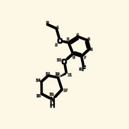 CCOc1cccc(F)c1OC[C@H]1CCCNC1